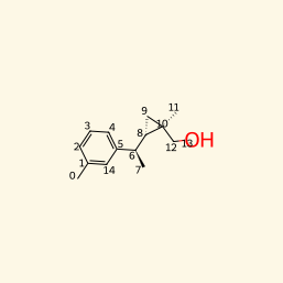 Cc1cccc([C@H](C)[C@@H]2C[C@@]2(C)CO)c1